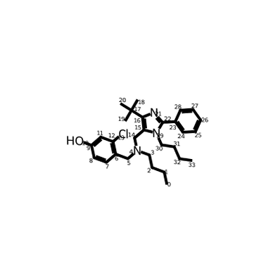 CCCCN(Cc1ccc(O)cc1Cl)Cc1c(C(C)(C)C)nc(-c2ccccc2)n1CCCC